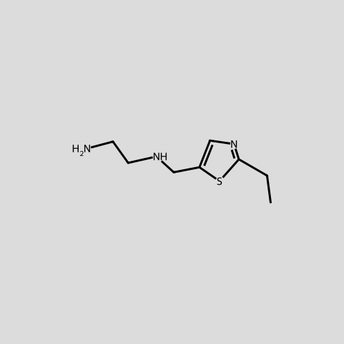 CCc1ncc(CNCCN)s1